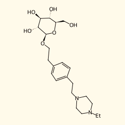 CCN1CCN(CCc2ccc(CCO[C@@H]3O[C@H](CO)[C@@H](O)[C@H](O)[C@H]3O)cc2)CC1